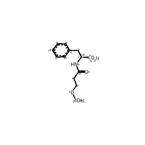 CCCCCCCCCCOCCC(=O)N[C@@H](Cc1ccccc1)C(=O)O